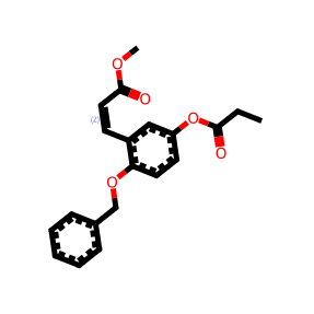 CCC(=O)Oc1ccc(OCc2ccccc2)c(/C=C\C(=O)OC)c1